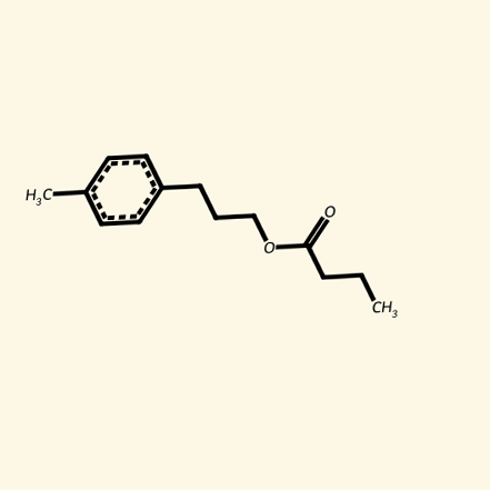 CCCC(=O)OCCCc1ccc(C)cc1